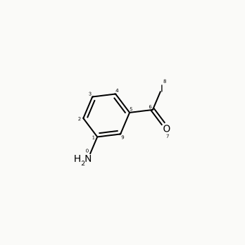 Nc1cccc(C(=O)I)c1